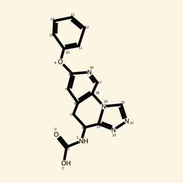 O=C(O)NC1Cc2cc(Oc3ccccc3)ncc2-n2cnnc21